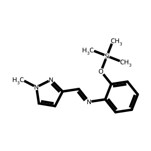 Cn1ccc(C=Nc2ccccc2O[Si](C)(C)C)n1